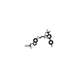 O=C(O)C[C@@H]1CCc2cc(OCCCNc3nc(-c4ccc(F)cc4)ccc3C(F)(F)F)ccc21